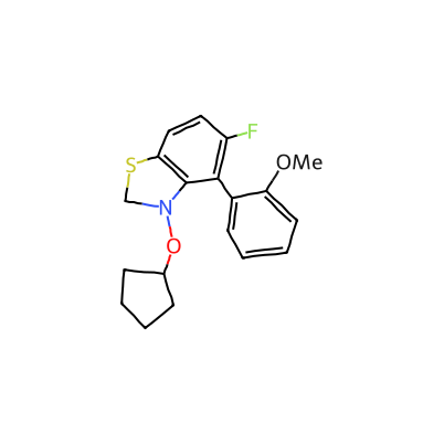 COc1ccccc1-c1c(F)ccc2c1N(OC1CCCC1)CS2